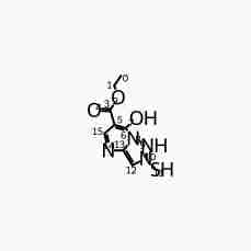 CCOC(=O)C1=C(O)N2NN(S)C=C2N=C1